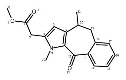 COC(=O)Cc1cc2c(n1C)C(=O)c1ccccc1CC2C